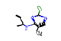 C=CC(C)Nc1nc(Cl)ncc1C#N